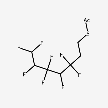 CC(=O)SCCC(F)(F)C(F)C(F)(F)C(F)C(F)F